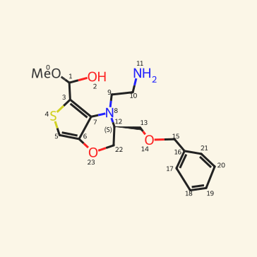 COC(O)c1scc2c1N(CCN)[C@@H](COCc1ccccc1)CO2